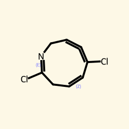 ClC1=C=CC/N=C(/Cl)C/C=C\1